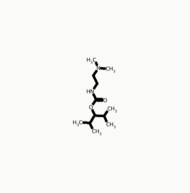 CC(C)C(OC(=O)NCCN(C)C)C(C)C